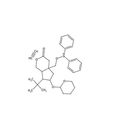 C#C.CC(C)(C)C1C(OC2CCCCO2)CC2(CO[SiH](c3ccccc3)c3ccccc3)CC(=O)OCC12